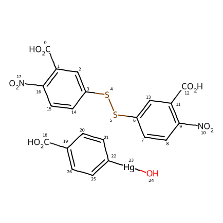 O=C(O)c1cc(SSc2ccc([N+](=O)[O-])c(C(=O)O)c2)ccc1[N+](=O)[O-].O=C(O)c1cc[c]([Hg][OH])cc1